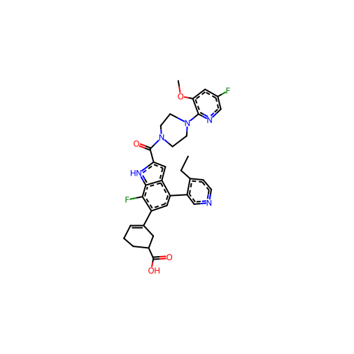 CCc1ccncc1-c1cc(C2=CCCC(C(=O)O)C2)c(F)c2[nH]c(C(=O)N3CCN(c4ncc(F)cc4OC)CC3)cc12